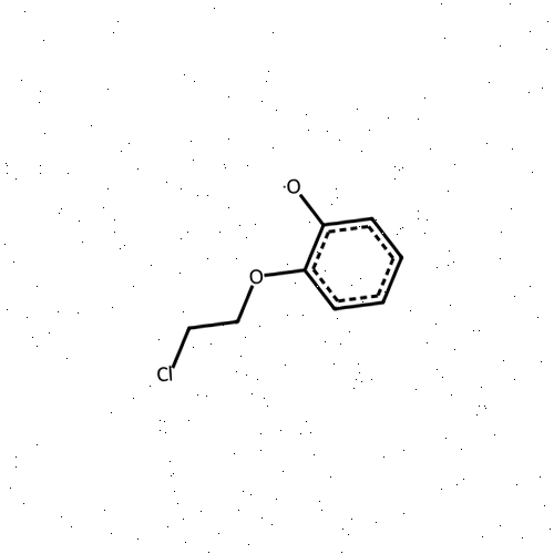 [O]c1ccccc1OCCCl